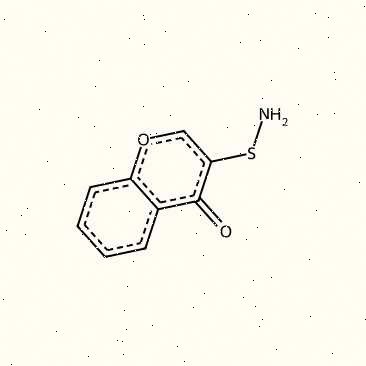 NSc1coc2ccccc2c1=O